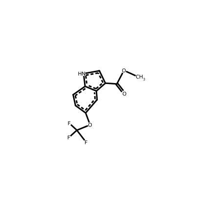 COC(=O)c1c[nH]c2ccc(OC(F)(F)F)cc12